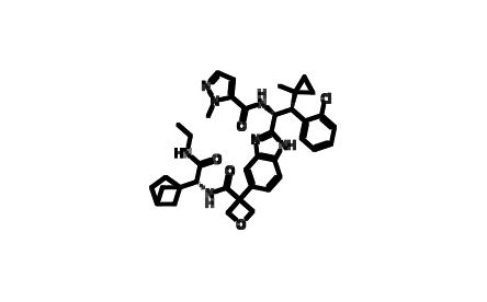 CCNC(=O)[C@H](NC(=O)C1(c2ccc3[nH]c([C@@H](NC(=O)c4ccnn4C)[C@H](c4ccccc4Cl)C4(C)CC4)nc3c2)COC1)C12CCC(C1)C2